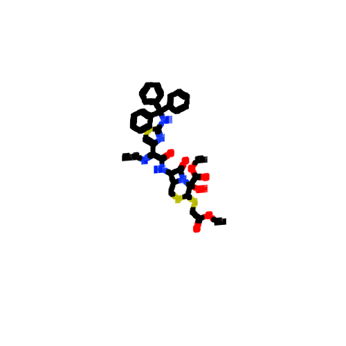 CON=C(C(=O)NC1C(=O)N2C1CSC(SCC(=O)OC(C)(C)C)C2(O)C(=O)OC(C)(C)C)c1csc(NC(c2ccccc2)(c2ccccc2)c2ccccc2)n1